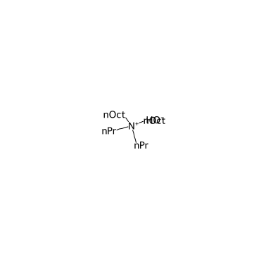 CCCCCCCC[N+](CCC)(CCC)CCCCCCCC.[OH-]